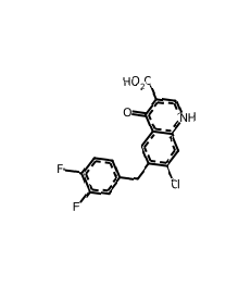 O=C(O)c1c[nH]c2cc(Cl)c(Cc3ccc(F)c(F)c3)cc2c1=O